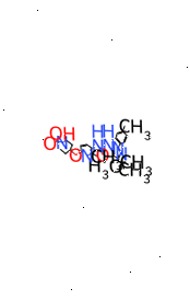 Cc1ccc(-n2nc(C(C)(C)C)cc2NC(=O)Nc2ccc(OC3CCN(C(=O)O)CC3)nc2C)cc1